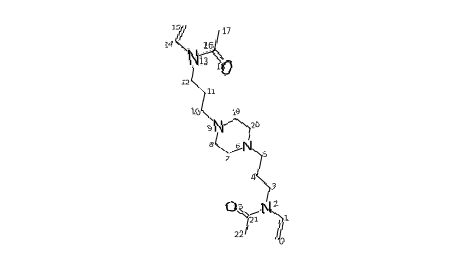 C=CN(CCCN1CCN(CCCN(C=C)C(C)=O)CC1)C(C)=O